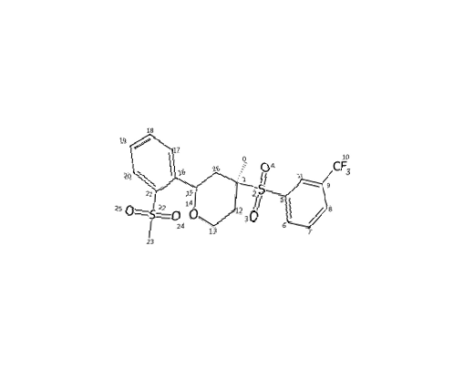 C[C@]1(S(=O)(=O)c2cccc(C(F)(F)F)c2)CCOC(c2ccccc2S(C)(=O)=O)C1